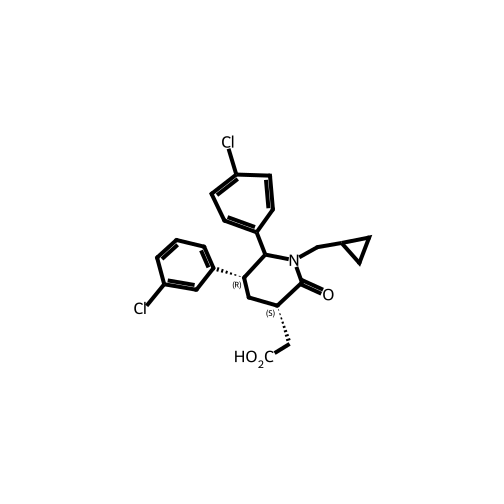 O=C(O)C[C@@H]1C[C@H](c2cccc(Cl)c2)C(c2ccc(Cl)cc2)N(CC2CC2)C1=O